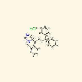 Cl.c1ccc(Cn2cncc2CCCC(c2ccccc2)c2ccccc2)cc1